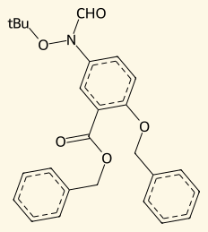 CC(C)(C)ON(C=O)c1ccc(OCc2ccccc2)c(C(=O)OCc2ccccc2)c1